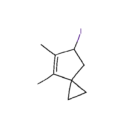 CC1=C(C)C2(CC2)CC1I